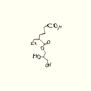 CCC=C(CCCC(=O)O)C(=O)OCC(O)CO